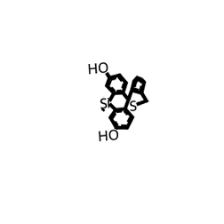 C[Si]1(C)c2cc(O)ccc2C2(SCc3ccccc32)c2ccc(O)cc21